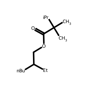 CCCCC(CC)COC(=O)C(C)(C)C(C)C